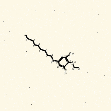 CCCCCCCCCSc1cc(F)c(SCC)c(F)c1